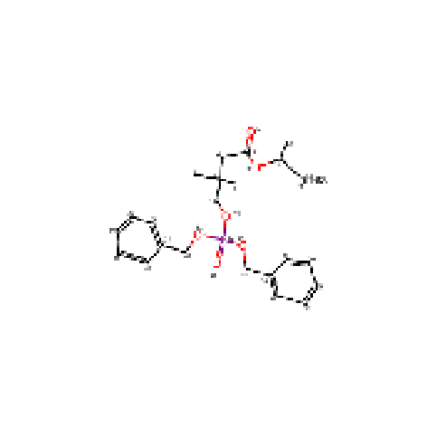 CCCCCCC(C)OC(=O)CC(C)(C)COP(=O)(OCc1ccccc1)OCc1ccccc1